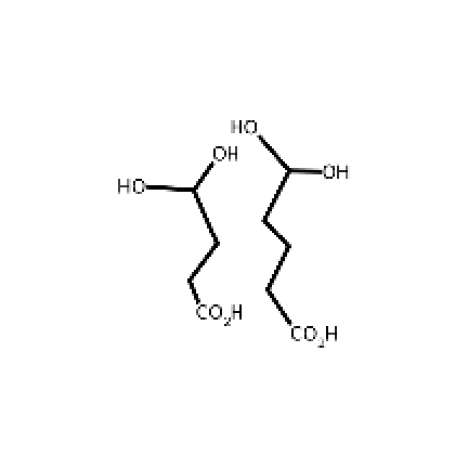 O=C(O)CCC(O)O.O=C(O)CCCC(O)O